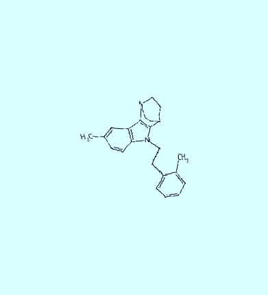 Cc1ccc2c(c1)c1c(n2CCc2ccccc2C)C2CCN1CC2